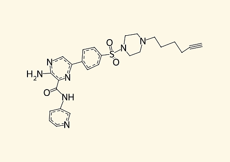 C#CCCCCN1CCN(S(=O)(=O)c2ccc(-c3cnc(N)c(C(=O)Nc4cccnc4)n3)cc2)CC1